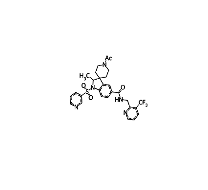 CC(=O)N1CCC2(CC1)c1cc(C(=O)NCc3ncccc3C(F)(F)F)ccc1N(S(=O)(=O)c1cccnc1)C2C